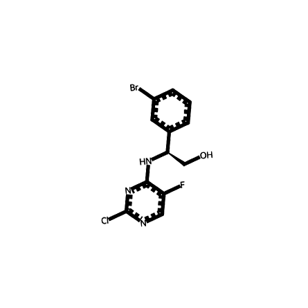 OC[C@@H](Nc1nc(Cl)ncc1F)c1cccc(Br)c1